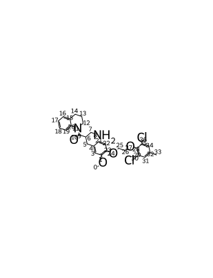 COc1cc(CC(CN)C(=O)N2CCCc3ccccc32)ccc1OCCOc1c(Cl)cc(C)cc1Cl